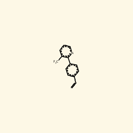 [CH]=Cc1ccc(-c2ncccc2C(F)(F)F)cc1